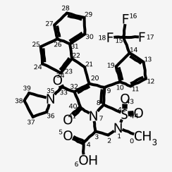 CN1CC(C(=O)O)n2c(c(-c3cccc(C(F)(F)F)c3)c(Cc3cccc4ccccc34)c(C(=O)N3CCCC3)c2=O)S1(=O)=O